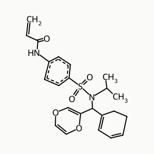 C=CC(=O)Nc1ccc(S(=O)(=O)N(C(C)C)C(C2=CC=CCC2)C2=COC=CO2)cc1